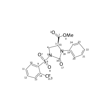 COC(=O)[C@@H]1CN(S(=O)(=O)c2ccccc2C(F)(F)F)C(=O)N1c1ccccc1